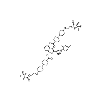 C=C(C(=O)OCCOC1CCC(C2CCC(C(=O)Oc3cc(-c4cn(-c5ccc(C)cc5C)nn4)c(OC(=O)C4CCC(C5CCC(OCCOC(=O)C(=C)C(F)(F)F)CC5)CC4)c4ccccc34)CC2)CC1)C(F)(F)F